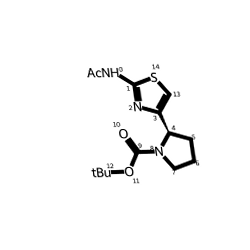 CC(=O)Nc1nc([C@H]2CCCN2C(=O)OC(C)(C)C)cs1